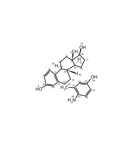 C[C@]12CC[C@@H]3c4ccc(O)cc4CC[C@H]3[C@@H]1CC[C@@H]2O.Cc1cc(O)ccc1N